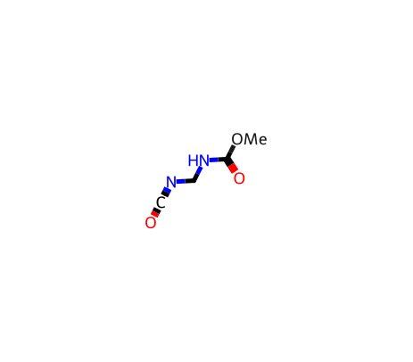 COC(=O)NCN=C=O